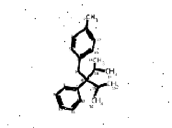 Cc1ccc(CC(c2ccccc2)(C(C)C)C(C)C)cc1